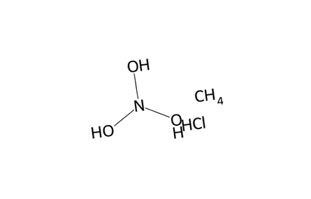 C.Cl.ON(O)O